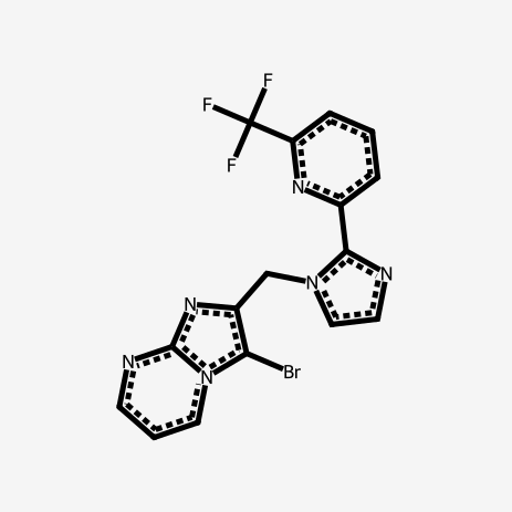 FC(F)(F)c1cccc(-c2nccn2Cc2nc3ncccn3c2Br)n1